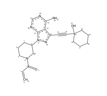 C=CC(=O)N1CCCC(n2nc(C#CC3(O)CCCCC3)c3c(N)ncnc32)C1